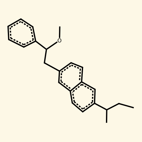 CCC(C)c1ccc2cc(CC(OC)c3ccccc3)ccc2c1